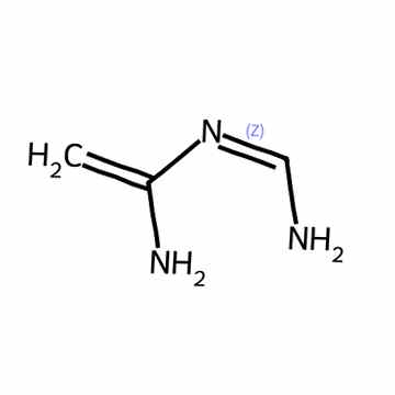 C=C(N)/N=C\N